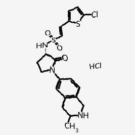 CC1Cc2cc(N3CC[C@H](NS(=O)(=O)/C=C/c4ccc(Cl)s4)C3=O)ccc2CN1.Cl